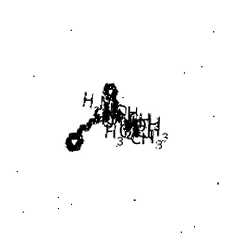 CC(C)(C)C(C)(O)C(=O)NCC(O)(O)C(Cc1ccccc1)N(N)C(=O)OCCCCc1ccccc1